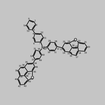 c1ccc(-c2ccc(N(c3ccc(-c4cc5ccc6cccc7oc(c4)c5c67)cc3)c3ccc(-c4cc5ccc6cccc7oc(c4)c5c67)cc3)cc2)cc1